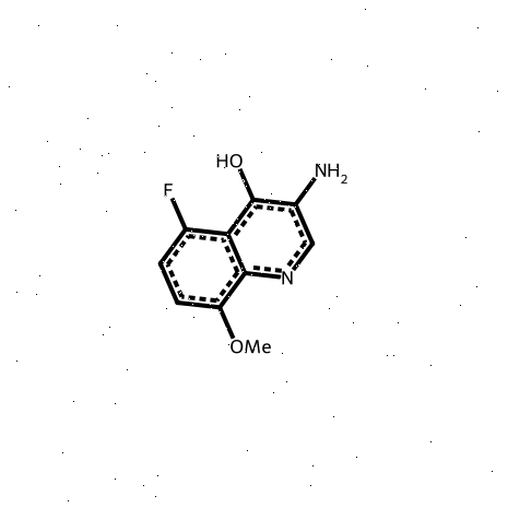 COc1ccc(F)c2c(O)c(N)cnc12